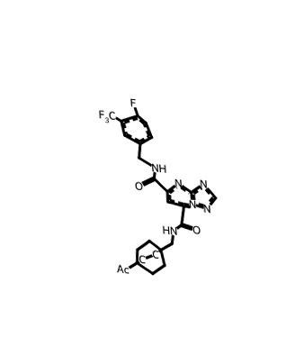 CC(=O)C12CCC(CNC(=O)c3cc(C(=O)NCc4ccc(F)c(C(F)(F)F)c4)nc4ncnn34)(CC1)CC2